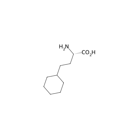 N[C@@H](CCC1CCCCC1)C(=O)O